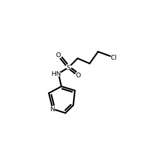 O=S(=O)(CCCCl)Nc1cccnc1